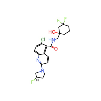 O=C(NCC1(O)CCCC(F)(F)C1)c1c(Cl)ccc2nc(N3CC[C@@H](F)C3)ccc12